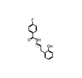 O=C(N/N=C/Cc1ccccc1O)c1ccc(F)cc1